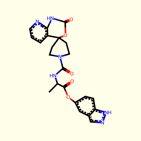 CC(NC(=O)N1CCC2(CC1)OC(=O)Nc1ncccc12)C(=O)Oc1ccc2[nH]ncc2c1